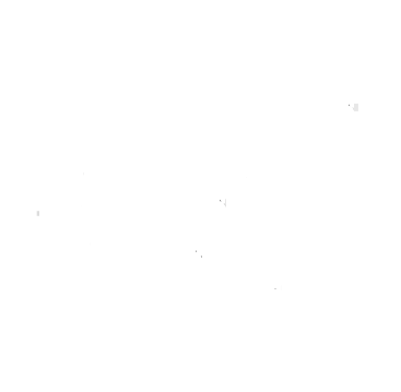 CC(C)S(=O)(=O)c1ccc2c(c1)nc(CC(C)(C)C)n2CCC1CCNCC1